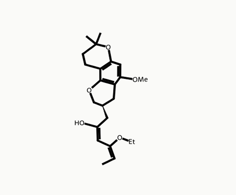 C/C=C(\C=C(\O)C[C@H]1COc2c(c(OC)cc3c2CCC(C)(C)O3)C1)OCC